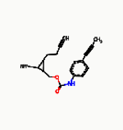 C#CCCC1C(CCC)C1COC(=O)Nc1ccc(C#CC)cc1